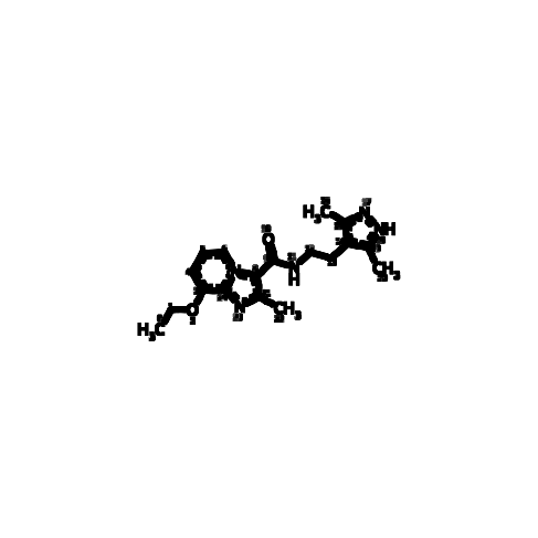 CCOc1cccn2c(C(=O)NCCc3c(C)n[nH]c3C)c(C)nc12